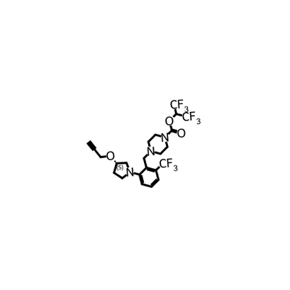 C#CCO[C@H]1CCN(c2cccc(C(F)(F)F)c2CN2CCN(C(=O)OC(C(F)(F)F)C(F)(F)F)CC2)C1